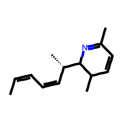 C/C=C\C=C/[C@H](C)C1N=C(C)C=CC1C